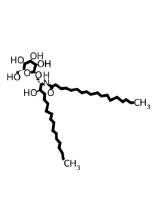 CCCCCCCCCCCCCCCCCC(=O)N[C@@H](CO[C@H]1O[C@H](CO)[C@H](O)[C@H](O)[C@H]1O)[C@H](O)CCCCCCCCCCCCCCC